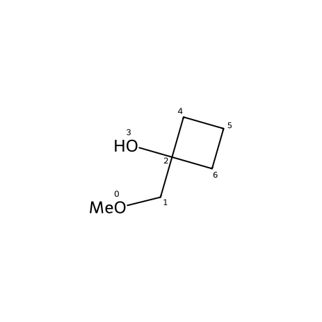 COCC1(O)CCC1